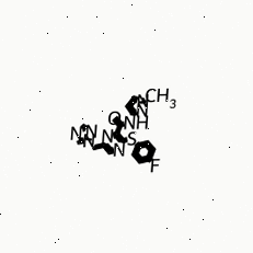 Cn1ccc(NC(=O)c2nc(Cn3cncn3)cnc2Sc2ccc(F)cc2)n1